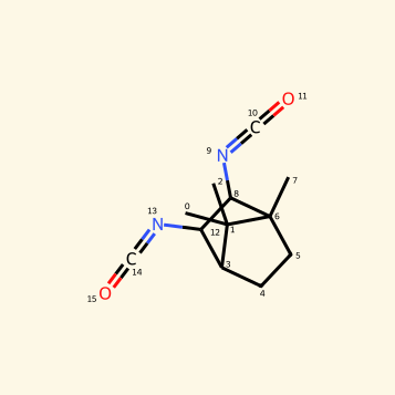 CC1(C)C2CCC1(C)C(N=C=O)C2N=C=O